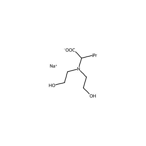 CC(C)C(C(=O)[O-])N(CCO)CCO.[Na+]